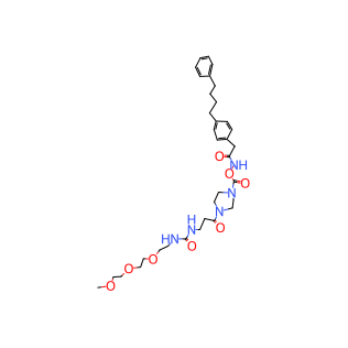 COCCOCCOCCNC(=O)NCCC(=O)N1CCN(C(=O)ONC(=O)Cc2ccc(CCCCc3ccccc3)cc2)CC1